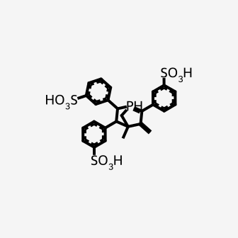 C=C1C(c2cccc(S(=O)(=O)O)c2)=[PH]2CC1(C)C(c1cccc(S(=O)(=O)O)c1)C2c1cccc(S(=O)(=O)O)c1